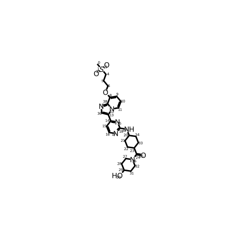 CS(=O)(=O)CCCOc1cccn2c(-c3ccnc(NC4CCC(C(=O)N5CCC(O)CC5)CC4)n3)cnc12